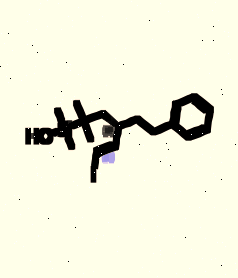 CC(C)(C[C@H](/C=C/I)CCc1ccccc1)[Si](C)(C)O